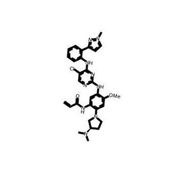 C=CC(=O)Nc1cc(Nc2ncc(Cl)c(Nc3ccccc3-c3ccn(C)n3)n2)c(OC)cc1N1CC[C@@H](N(C)C)C1